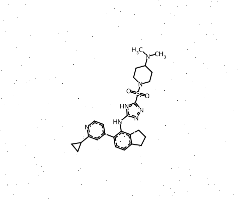 CN(C)C1CCN(S(=O)(=O)c2nnc(Nc3c(-c4ccnc(C5CC5)c4)ccc4c3CCC4)[nH]2)CC1